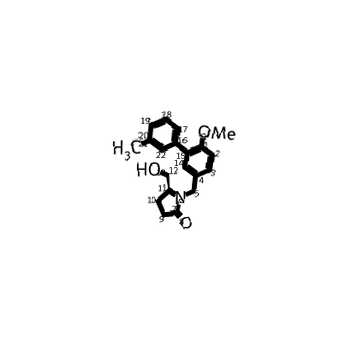 COc1ccc(CN2C(=O)CC[C@H]2CO)cc1-c1cccc(C)c1